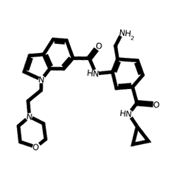 NCc1ccc(C(=O)NC2CC2)cc1NC(=O)c1ccc2ccn(CCN3CCOCC3)c2c1